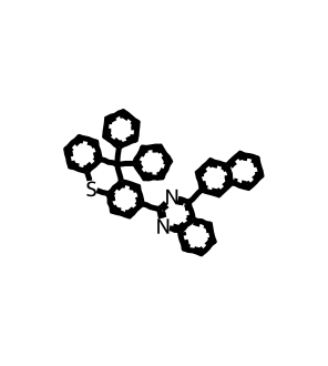 c1ccc(C2(c3ccccc3)c3ccccc3Sc3ccc(-c4nc(-c5ccc6ccccc6c5)c5ccccc5n4)cc32)cc1